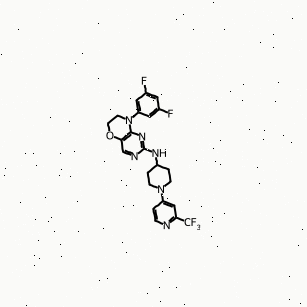 Fc1cc(F)cc(N2CCOc3cnc(NC4CCN(c5ccnc(C(F)(F)F)c5)CC4)nc32)c1